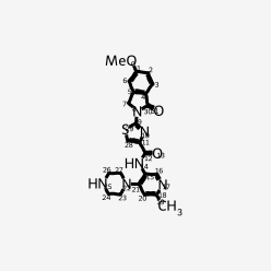 COc1ccc2c(c1)CN(c1nc(C(=O)Nc3cnc(C)cc3N3CCNCC3)cs1)C2=O